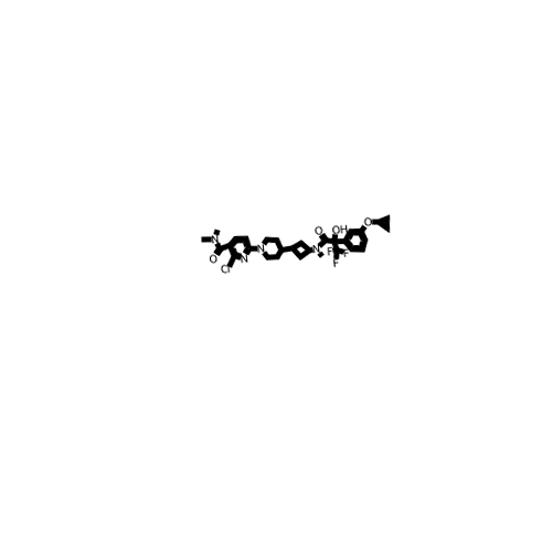 CN(C)C(=O)c1ccc(N2CCC(C3CC(N(C)C(=O)C(O)(c4cccc(OC5CC5)c4)C(F)(F)F)C3)CC2)nc1Cl